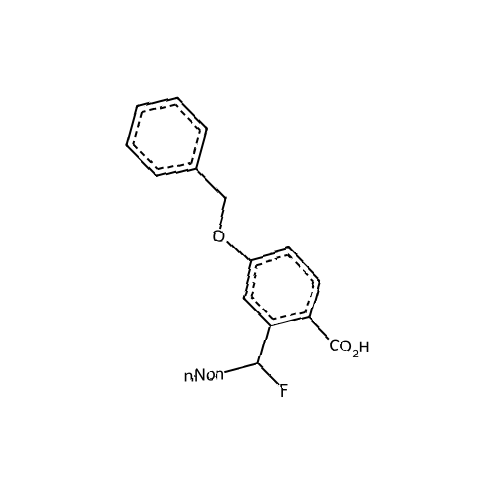 CCCCCCCCCC(F)c1cc(OCc2ccccc2)ccc1C(=O)O